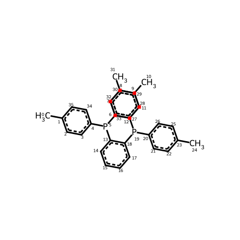 Cc1ccc(P(c2ccc(C)cc2)c2ccccc2P(c2ccc(C)cc2)c2ccc(C)cc2)cc1